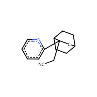 N#CCC1(c2ccccn2)CC2CCC1CC2